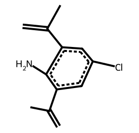 C=C(C)c1cc(Cl)cc(C(=C)C)c1N